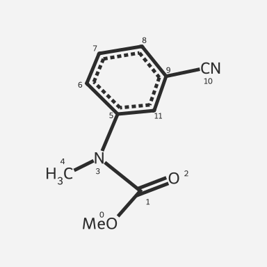 [CH2]OC(=O)N(C)c1cccc(C#N)c1